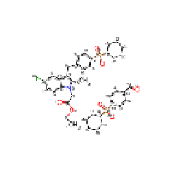 CCOC(=O)Cn1c(C)c(Cc2ccc(S(=O)(=O)C3CCCCC3)cc2)c2cc(F)ccc21.O=Cc1ccc(S(=O)(=O)C2CCCCC2)cc1